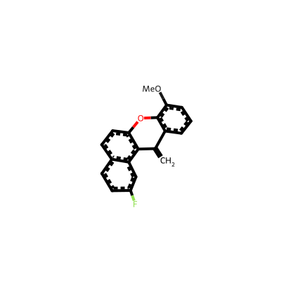 C=C1c2cccc(OC)c2Oc2ccc3ccc(F)cc3c21